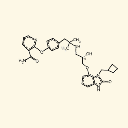 CC(C)(Cc1ccc(Oc2ncccc2C(N)=O)cc1)NC[C@H](O)COc1cccc2[nH]c(=O)n(CC3CCC3)c12